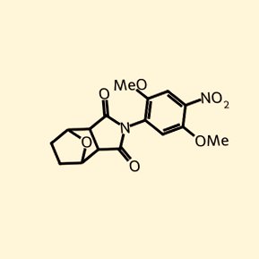 COc1cc([N+](=O)[O-])c(OC)cc1N1C(=O)C2C3CCC(O3)C2C1=O